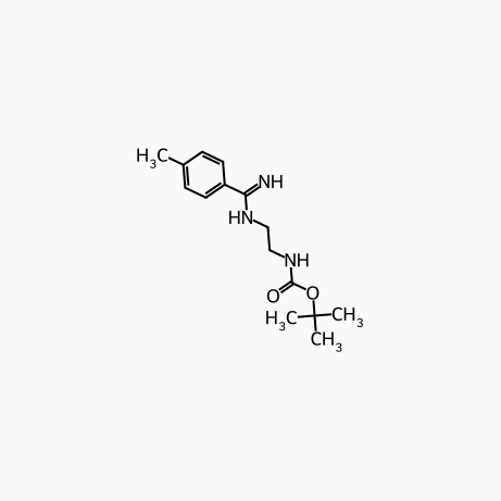 Cc1ccc(C(=N)NCCNC(=O)OC(C)(C)C)cc1